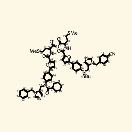 CCCCN(Cc1cncn1Cc1ccc(C#N)cc1)c1ccc(-c2ccc(C(=O)NC(CCSC)C(=O)OC(=O)C(CCSC)NC(=O)c3ccc(-c4ccc(N(Cc5cncn5Cc5ccccc5)C(=O)C5CCCCC5)cc4)o3)o2)cc1